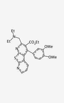 CCOC(=O)c1c(CN(CC)CC)nc2sc3ncccc3c2c1-c1ccc(OC)c(OC)c1